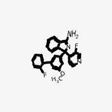 COc1cc(-c2ccccc2F)cc(C2(c3ccncc3F)N=C(N)c3ccccc32)c1